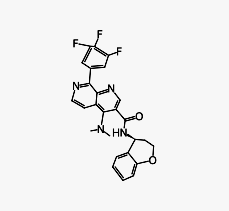 CN(C)c1c(C(=O)N[C@H]2CCOc3ccccc32)cnc2c(-c3cc(F)c(F)c(F)c3)nccc12